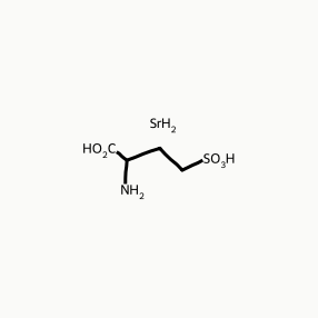 NC(CCS(=O)(=O)O)C(=O)O.[SrH2]